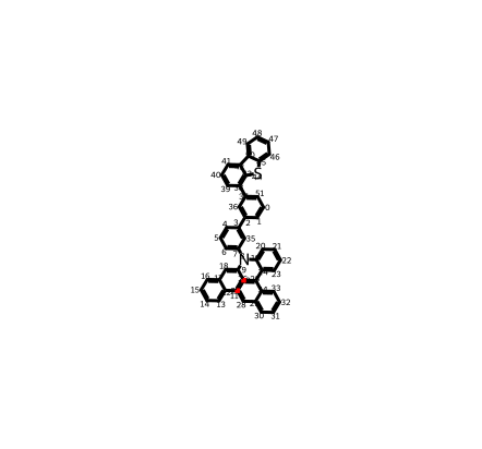 c1cc(-c2cccc(N(c3ccc4ccccc4c3)c3ccccc3-c3cccc4ccccc34)c2)cc(-c2cccc3c2sc2ccccc23)c1